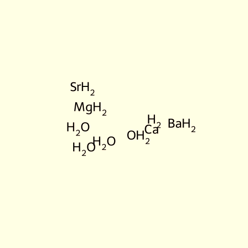 O.O.O.O.[BaH2].[CaH2].[MgH2].[SrH2]